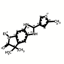 CCN1C(=O)C(C)(C)c2cc3c(cc21)NC(c1coc(C)c1)N3